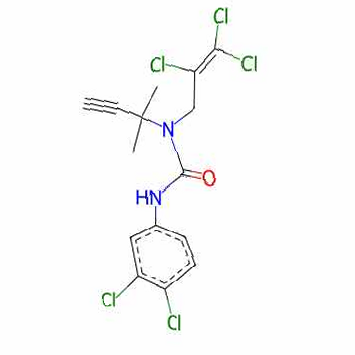 C#CC(C)(C)N(CC(Cl)=C(Cl)Cl)C(=O)Nc1ccc(Cl)c(Cl)c1